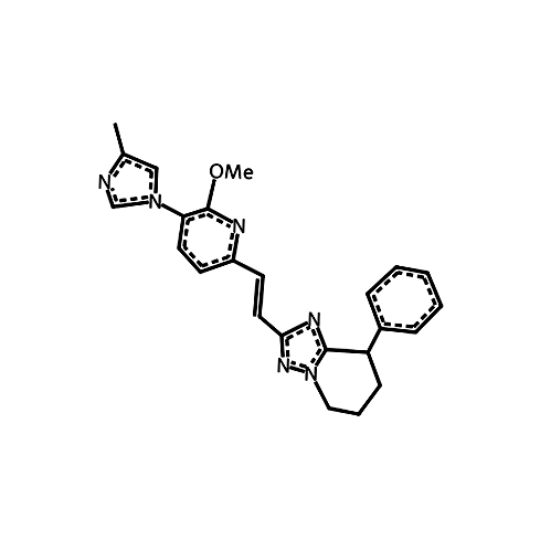 COc1nc(/C=C/c2nc3n(n2)CCCC3c2ccccc2)ccc1-n1cnc(C)c1